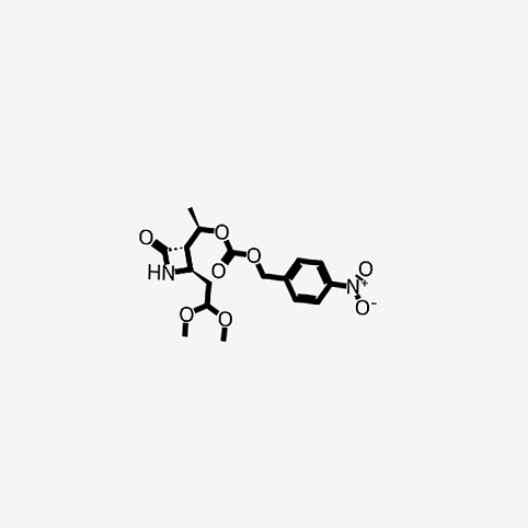 COC(C[C@H]1NC(=O)[C@@H]1[C@@H](C)OC(=O)OCc1ccc([N+](=O)[O-])cc1)OC